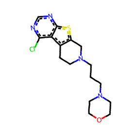 Clc1ncnc2sc3c(c12)CCN(CCCN1CCOCC1)C3